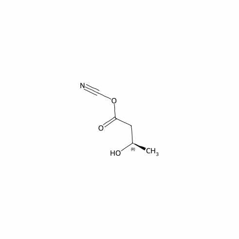 C[C@@H](O)CC(=O)OC#N